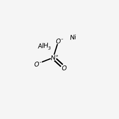 O=[N+]([O-])[O-].[AlH3].[Ni]